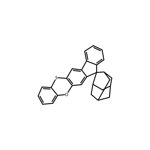 c1ccc2c(c1)Oc1cc3c(cc1S2)-c1ccccc1C31C2CC3CC(C2)CC1C3